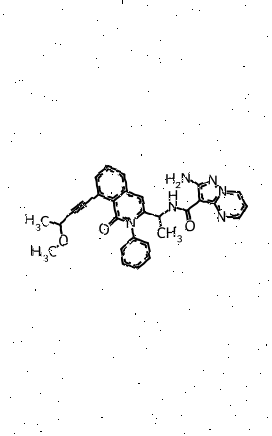 COC(C)C#Cc1cccc2cc(C(C)NC(=O)c3c(N)nn4cccnc34)n(-c3ccccc3)c(=O)c12